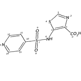 O=C(O)c1ncsc1NS(=O)(=O)c1ccncc1